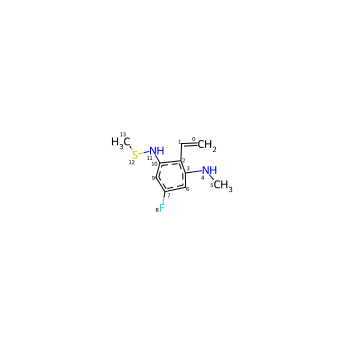 C=Cc1c(NC)cc(F)cc1NSC